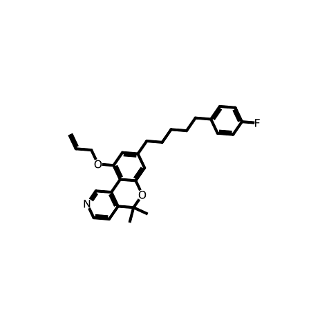 C=CCOc1cc(CCCCCc2ccc(F)cc2)cc2c1-c1cnccc1C(C)(C)O2